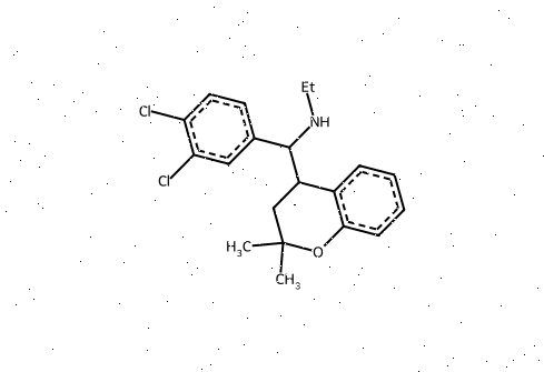 CCNC(c1ccc(Cl)c(Cl)c1)C1CC(C)(C)Oc2ccccc21